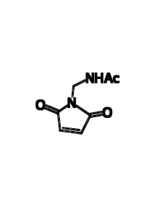 CC(=O)NCN1C(=O)C=CC1=O